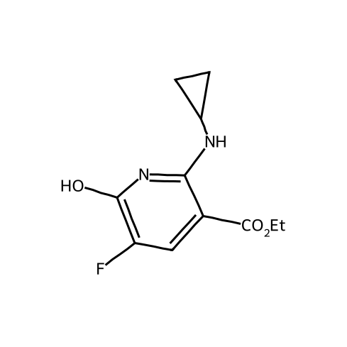 CCOC(=O)c1cc(F)c(O)nc1NC1CC1